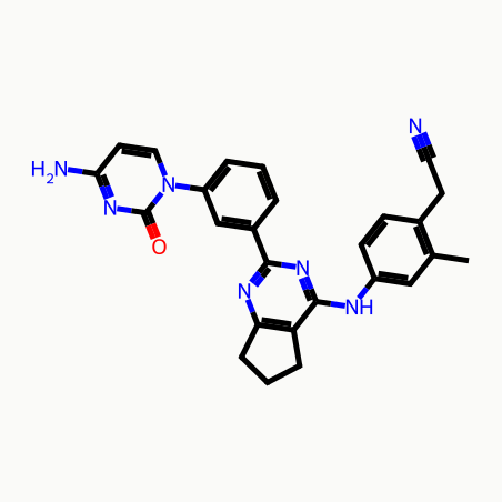 Cc1cc(Nc2nc(-c3cccc(-n4ccc(N)nc4=O)c3)nc3c2CCC3)ccc1CC#N